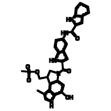 Cc1c[nH]c2c(O)cc3c(c12)C(COS(C)(=O)=O)CN3C(=O)c1cc2cc(NC(=O)c3cc4ccccc4[nH]3)ccc2[nH]1